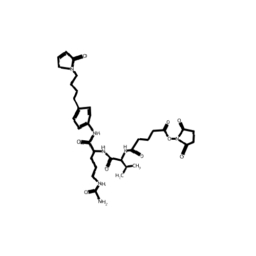 CC(C)C(NC(=O)CCCC(=O)ON1C(=O)CCC1=O)C(=O)NC(CCCNC(N)=O)C(=O)Nc1ccc(CCCCN2CC=CC2=O)cc1